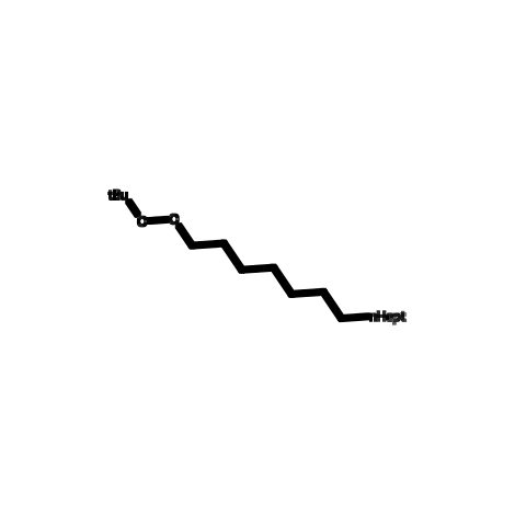 [CH2]CCCCCCCCCCCCCOOC(C)(C)C